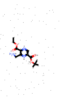 CCOC(=O)c1ncc(C(=O)OC(C)(C)C)nc1CN